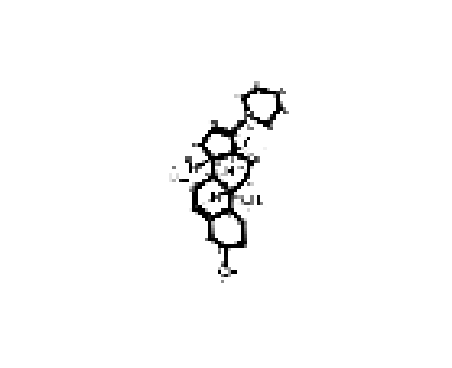 C[C@H]1C=C2C[C@H](O)CC[C@]2(C)[C@H]2CC[C@]3(C)C(N4CCCCC4)=CC[C@H]3[C@H]12